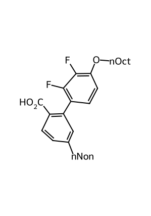 CCCCCCCCCc1ccc(C(=O)O)c(-c2ccc(OCCCCCCCC)c(F)c2F)c1